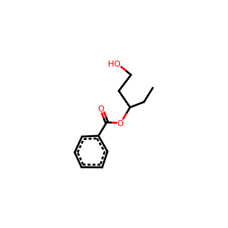 CCC(CCO)OC(=O)c1ccccc1